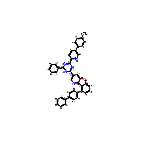 N#Cc1ccc(-c2ccc(-c3nc(-c4ccccc4)nc(-c4cnc5c(c4)oc4cccc(-c6ccc(-c7ccccc7)cc6)c45)n3)nc2)cc1